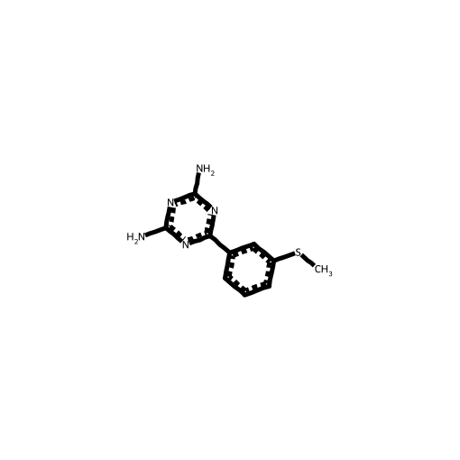 CSc1cccc(-c2nc(N)nc(N)n2)c1